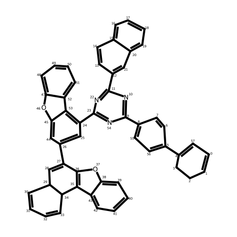 C1=CCCC(c2ccc(-c3nc(-c4ccc5ccccc5c4)nc(-c4cc(C5=CC6C=CC=CC6c6c5oc5ccccc65)cc5oc6ccccc6c45)n3)cc2)=C1